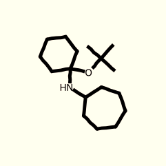 CC(C)(C)OC1(NC2CCCCCC2)CCCCC1